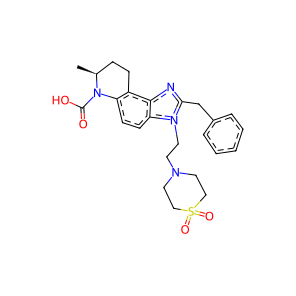 C[C@H]1CCc2c(ccc3c2nc(Cc2ccccc2)n3CCN2CCS(=O)(=O)CC2)N1C(=O)O